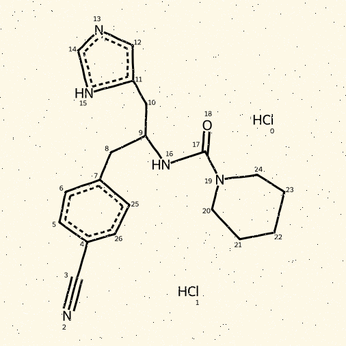 Cl.Cl.N#Cc1ccc(CC(Cc2cnc[nH]2)NC(=O)N2CCCCC2)cc1